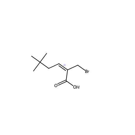 CC(C)(C)C/C=C(/CBr)C(=O)O